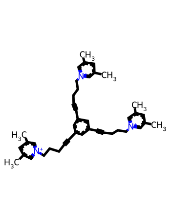 Cc1cc(C)c[n+](CCCC#Cc2cc(C#CCCC[n+]3cc(C)cc(C)c3)cc(C#CCCC[n+]3cc(C)cc(C)c3)c2)c1